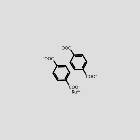 O=C([O-])c1ccc(C(=O)[O-])cc1.O=C([O-])c1ccc(C(=O)[O-])cc1.[Ru+4]